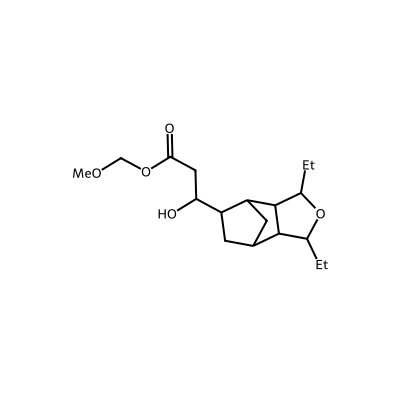 CCC1OC(CC)C2C3CC(CC3C(O)CC(=O)OCOC)C12